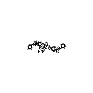 CC(C)(C)OC(=O)C(OC(=O)COC1CCN(C(=O)OCc2ccccc2)CC1)OC1CCN(C(=O)OCc2ccccc2)CC1